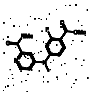 CNC(=O)c1cc(N(C)c2ccc(C(=O)OC)c(F)c2)ccn1